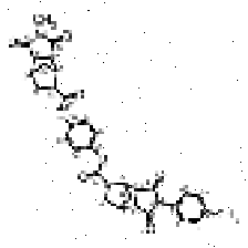 Cc1ccc(N2C(=O)C3C4CC(C(=O)Oc5ccc(OC(=O)C6CC7CC6C6C(=O)N(C)C(=O)C76)cc5)C(C4)C3C2=O)cc1